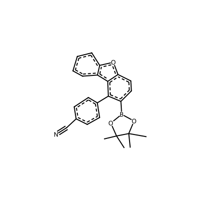 CC1(C)OB(c2ccc3oc4ccccc4c3c2-c2ccc(C#N)cc2)OC1(C)C